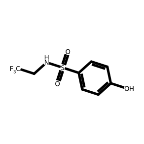 O=S(=O)(NCC(F)(F)F)c1ccc(O)cc1